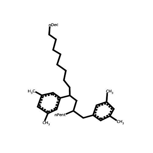 CCCCCCCCCCCCCCCCCCC([CH]C(CCCCC)Cc1cc(C)cc(C)c1)c1cc(C)cc(C)c1